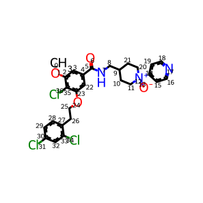 COc1cc(C(=O)NCC2CC[N+]([O-])(c3ccncc3)CC2)cc(OCCc2ccc(Cl)cc2Cl)c1Cl